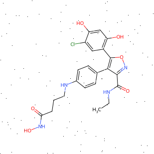 CCNC(=O)c1noc(-c2cc(Cl)c(O)cc2O)c1-c1ccc(NCCCC(=O)NO)cc1